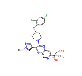 Cn1cc(-c2nc3cnc([C@](C)(O)CO)cc3nc2N2CCC(Oc3ccc(F)cc3F)CC2)cn1